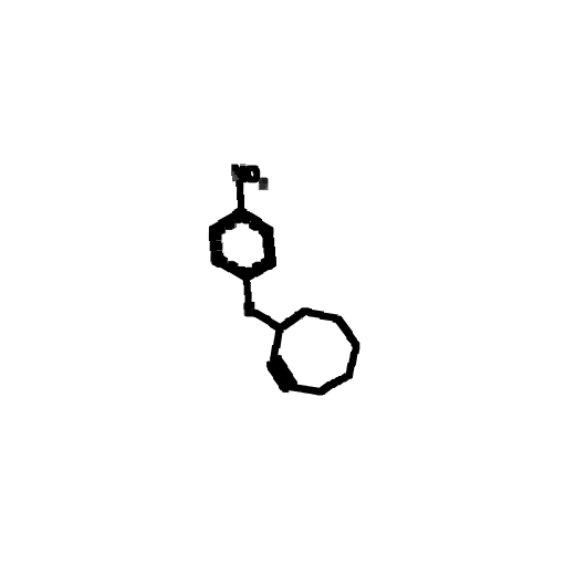 O=[N+]([O-])c1ccc(SC2C#CCCCCC2)cc1